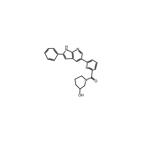 O=C(c1cccc(-c2cnc3[nH]c(-c4ccccc4)cc3c2)n1)N1CCCC(O)C1